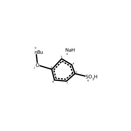 CCCCOc1ccc(S(=O)(=O)O)cc1.[NaH]